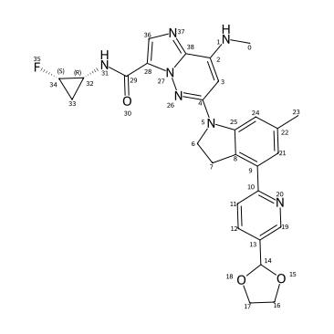 CNc1cc(N2CCc3c(-c4ccc(C5OCCO5)cn4)cc(C)cc32)nn2c(C(=O)N[C@@H]3C[C@@H]3F)cnc12